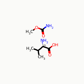 CC(C)[C@H](N)C(=O)O.COC(N)=O